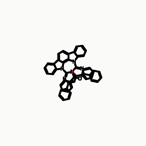 c1ccc(C2=NC(n3c4ccccc4c4ccc5c6ccccc6n(-c6nc(-c7ccccc7)cc(-c7ccccc7)n6)c5c43)=NC(c3ccccc3)O2)cc1